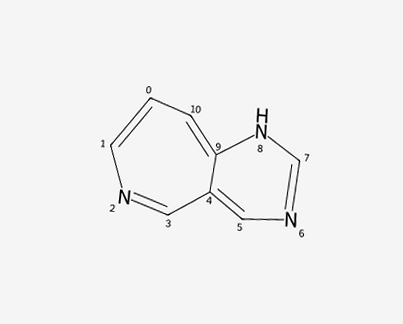 C1=CN=CC2=CN=CNC2=C1